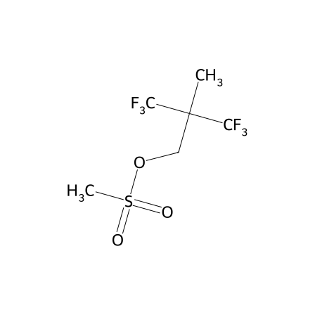 CC(COS(C)(=O)=O)(C(F)(F)F)C(F)(F)F